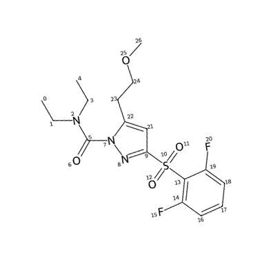 CCN(CC)C(=O)n1nc(S(=O)(=O)c2c(F)cccc2F)cc1CCOC